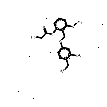 CCC(=O)Oc1cccc(SC)c1COc1ccc(CC)c(C)c1